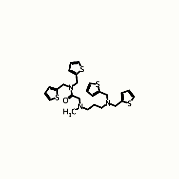 CN(CCCN(Cc1cccs1)Cc1cccs1)CC(=O)N(Cc1cccs1)Cc1cccs1